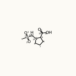 CS(=O)(=O)NN1CCCC1C(=O)O